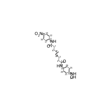 O=C(CCSSCCC(=O)Nc1ccc([N+](=O)[O-])cc1)Nc1ccc(NO)cc1